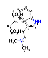 CN(C)CCc1c[nH]c2ccccc12.O=C(O)CCC(=O)O